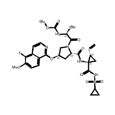 C=C[C@@H]1C[C@]1(NC(=O)[C@@H]1C[C@@H](Oc2nccc3c(F)c(OC)ccc23)CN1C(=O)[C@@H](NC(=O)OC(C)(C)C)C(C)(C)C)C(=O)NS(=O)(=O)C1CC1